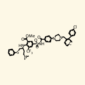 COC(=O)c1cc(S(=O)(=O)NC(=O)c2ccc(N3CCN(Cc4ccccc4-c4ccc(Cl)cc4)CC3)cc2)cc(C(F)(F)F)c1NC(CCN(C)C)CSc1ccccc1